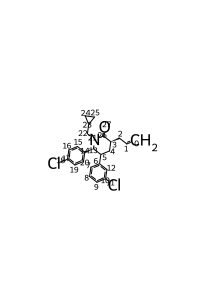 C=CC[C@H]1CC(c2cccc(Cl)c2)[C@@H](c2ccc(Cl)cc2)N(CC2CC2)C1=O